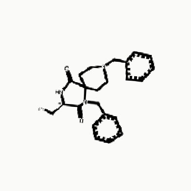 CC(C)C[C@H]1NC(=O)C2(CCN(Cc3ccccc3)CC2)N(Cc2ccccc2)C1=O